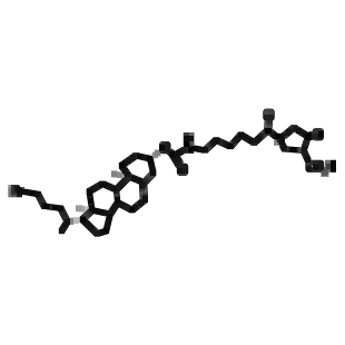 CC(C)CCCC(C)[C@H]1CCC2C3CC=C4C[C@@H](OC(=O)NCCCCCC(=O)N5CC(=O)C(C(=O)O)C5)CC[C@]4(C)C3CC[C@@]21C